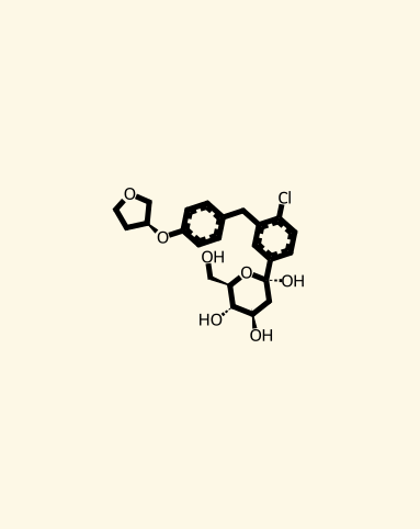 OC[C@H]1O[C@@](O)(c2ccc(Cl)c(Cc3ccc(O[C@H]4CCOC4)cc3)c2)C[C@@H](O)[C@@H]1O